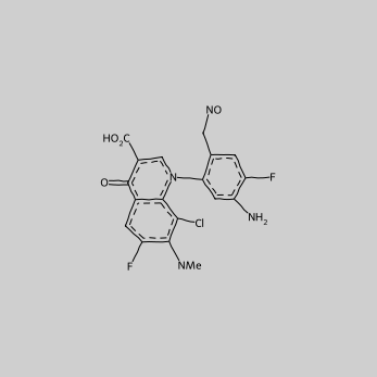 CNc1c(F)cc2c(=O)c(C(=O)O)cn(-c3cc(N)c(F)cc3CN=O)c2c1Cl